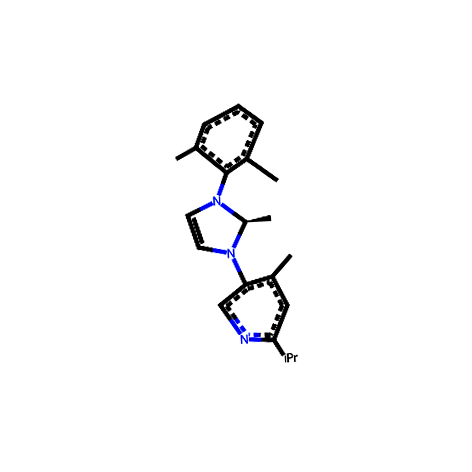 Cc1cc(C(C)C)ncc1N1C=CN(c2c(C)cccc2C)[C@H]1C